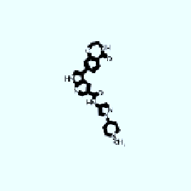 CN1CCC(n2cc(NC(=O)c3cnc4[nH]cc(-c5ccc6c(c5)OCCNC6=O)c4c3)cn2)CC1